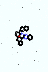 c1ccc2c(-c3nc4ccccc4nc3-n3c4ccccc4c4ccc5ccccc5c43)cccc2c1